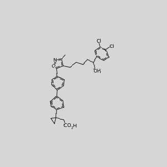 Cc1noc(-c2ccc(-c3ccc(C4(CC(=O)O)CC4)cc3)cc2)c1CCCCC(O)c1ccc(Cl)c(Cl)c1